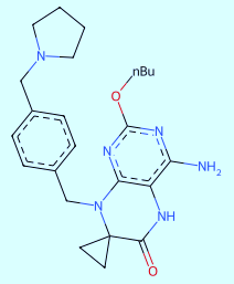 CCCCOc1nc(N)c2c(n1)N(Cc1ccc(CN3CCCC3)cc1)C1(CC1)C(=O)N2